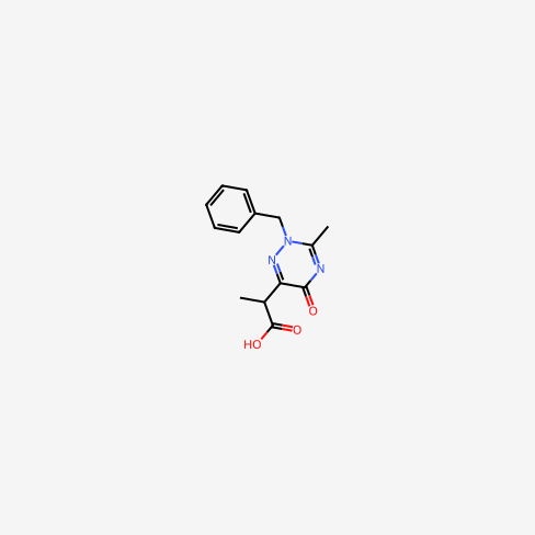 Cc1nc(=O)c(C(C)C(=O)O)nn1Cc1ccccc1